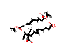 CC(C)C(CCCCCCCC(=O)O)(C(=O)O)C(C)C.CC(C)OC(=O)CCCCCCCCC(=O)OC(C)C